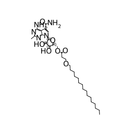 CCCCCCCCCCCCCCCCOCCC(=O)OC[C@H]1O[C@@H](n2cc(C(N)=O)c3c(N)nc(C)nc32)[C@H](O)[C@@H]1O